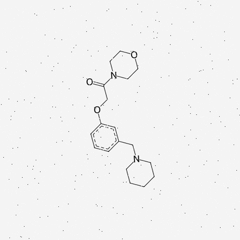 O=C(COc1cccc(CN2CCCCC2)c1)N1CCOCC1